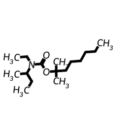 CCCCCCC(C)(C)OC(=O)N(CC)C(C)CC